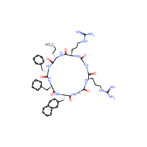 N=C(N)NCCC[C@H]1NC(=O)CNC(=O)[C@H](Cc2ccc3ccccc3c2)NC(=O)[C@@H](Cc2ccccc2)NC(=O)[C@H](Cc2ccccc2)NC(=O)[C@H](CCC(=O)O)NC(=O)[C@@H](CCCNC(=N)N)NC(=O)CNC1=O